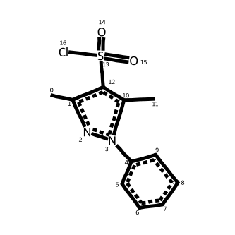 Cc1nn(-c2ccccc2)c(C)c1S(=O)(=O)Cl